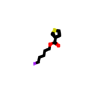 O=C(OCCCCCI)c1ccsc1